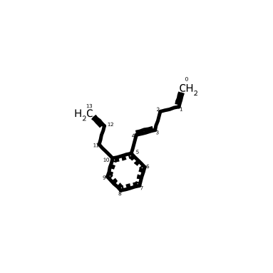 C=CCC=Cc1ccccc1CC=C